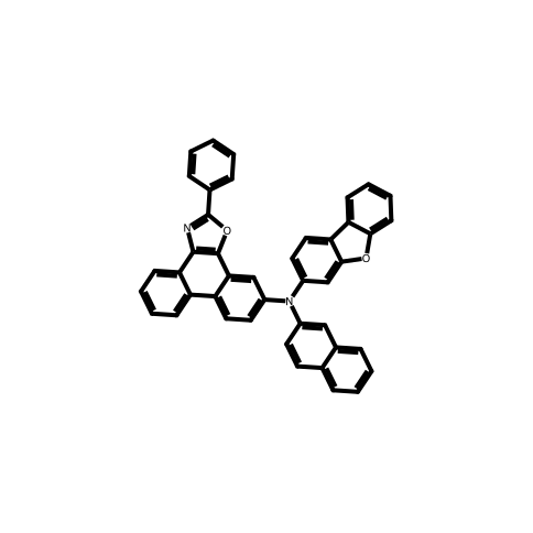 c1ccc(-c2nc3c4ccccc4c4ccc(N(c5ccc6ccccc6c5)c5ccc6c(c5)oc5ccccc56)cc4c3o2)cc1